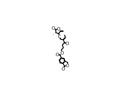 C=C1OC(=O)[C@@H](C)C1=C=C/C(=C\C)C(=O)CCCOC(=O)c1ccc2c(c1)COC2=O